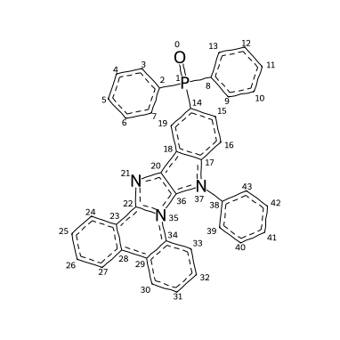 O=P(c1ccccc1)(c1ccccc1)c1ccc2c(c1)c1nc3c4ccccc4c4ccccc4n3c1n2-c1ccccc1